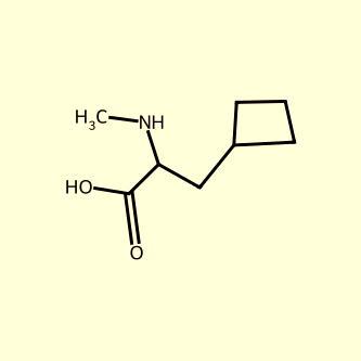 CNC(CC1CCC1)C(=O)O